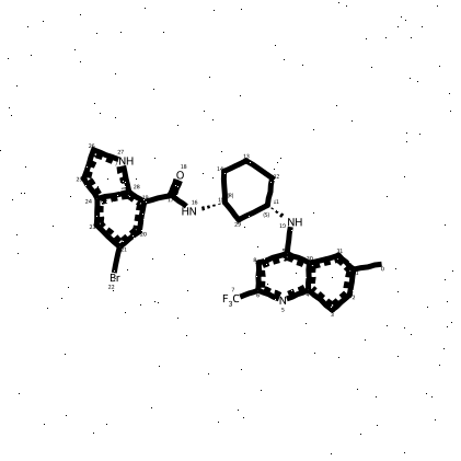 Cc1ccc2nc(C(F)(F)F)cc(N[C@H]3CCC[C@@H](NC(=O)c4cc(Br)cc5cc[nH]c45)C3)c2c1